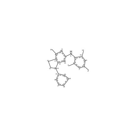 Cc1cc(C)c(Nc2nc(C)c3c(n2)N(c2ccccc2)CC3)c(C)c1